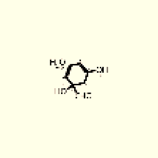 O.O=CC1(O)C=CC=C(O)C1